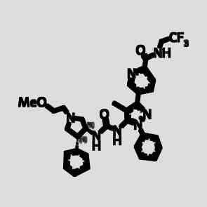 COCCN1C[C@@H](NC(=O)Nc2c(C)c(-c3ccc(C(=O)NCC(F)(F)F)nc3)nn2-c2ccccc2)[C@H](c2ccccc2)C1